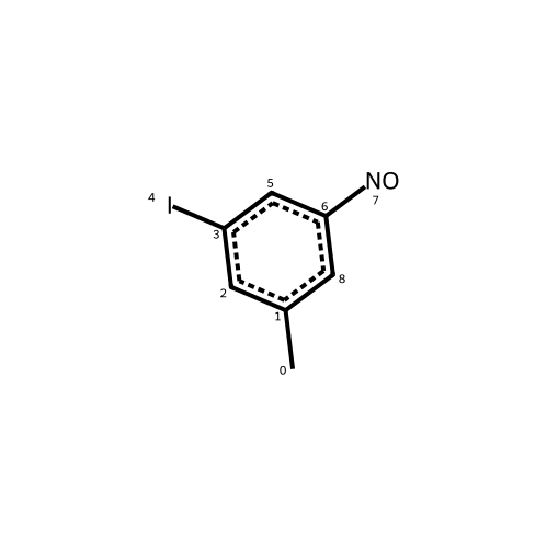 Cc1cc(I)cc(N=O)c1